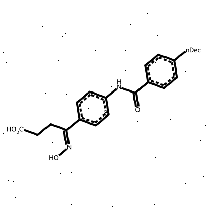 CCCCCCCCCCc1ccc(C(=O)Nc2ccc(C(CCC(=O)O)=NO)cc2)cc1